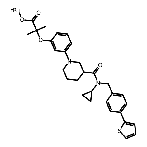 CC(C)(C)OC(=O)C(C)(C)Oc1cccc(N2CCCC(C(=O)N(Cc3ccc(-c4cccs4)cc3)C3CC3)C2)c1